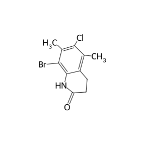 Cc1c(Cl)c(C)c2c(c1Br)NC(=O)CC2